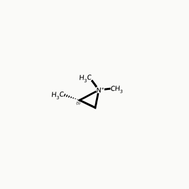 C[C@H]1C[N+]1(C)C